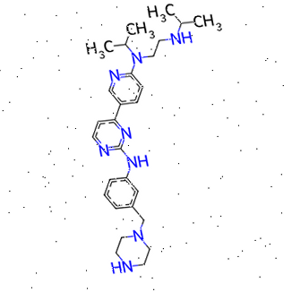 CC(C)NCCN(c1ccc(-c2ccnc(Nc3cccc(CN4CCNCC4)c3)n2)cn1)C(C)C